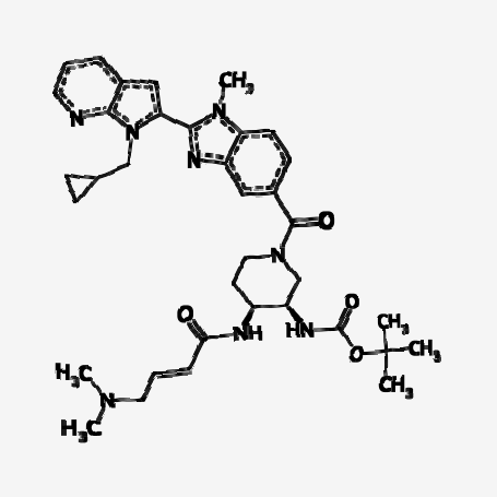 CN(C)C/C=C/C(=O)N[C@H]1CCN(C(=O)c2ccc3c(c2)nc(-c2cc4cccnc4n2CC2CC2)n3C)C[C@H]1NC(=O)OC(C)(C)C